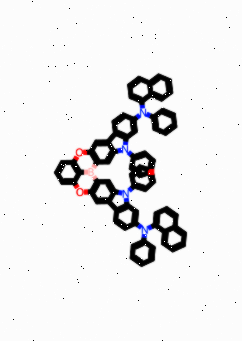 c1ccc(N(c2ccc3c4cc5c(cc4n(-c4ccccc4)c3c2)B2c3cc4c(cc3Oc3cccc(c32)O5)c2ccc(N(c3ccccc3)c3cccc5ccccc35)cc2n4-c2ccccc2)c2cccc3ccccc23)cc1